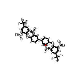 O=[N+]([O-])c1cc(C(F)(F)F)cc([N+](=O)[O-])c1Oc1ccc(-c2ccc(Oc3c([N+](=O)[O-])cc(C(F)(F)F)cc3[N+](=O)[O-])cc2)cc1